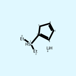 CC[SiH](CC)C1=CC=CC1.[LiH]